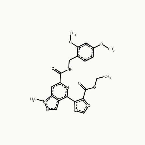 CCOC(=O)c1ocnc1-c1nc(C(=O)NCc2ccc(OC)cc2OC)cc2c1cnn2C